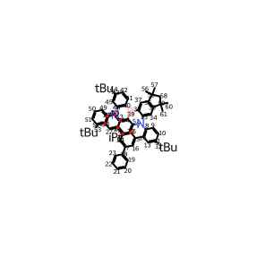 CC(C)c1cc2c3c(c1)N(c1ccc(C(C)(C)C)cc1-c1cc(-c4ccccc4)cc(-c4ccccc4)c1)c1cc4c(cc1B3c1ccc(C(C)(C)C)cc1N2c1cccc(C(C)(C)C)c1)C(C)(C)CC4(C)C